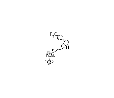 Cc1ncoc1-c1nnc(SCCCN2CC3[C@@H](CCCN3c3ccc(C(F)(F)F)cc3)C2)n1C